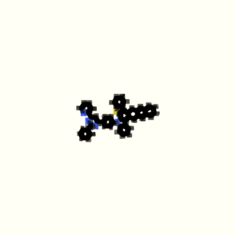 c1ccc(-c2nc(-c3ccc(-n4c5ccccc5c5c6c(c7c8ccccc8sc7c54)Cc4cc5ccccc5cc4C6)cc3)cc(-c3ccccn3)n2)cc1